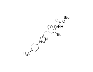 CCOC(=O)C(Cc1cn([C@H]2CC[C@H](C)CC2)cn1)CC(CC)CNC(=O)OC(C)(C)C